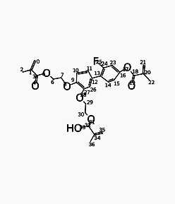 C=C(C)C(=O)OCCOc1ccc(-c2ccc(OC(=O)C(=C)C)cc2F)cc1OCCOC(O)C(=C)C